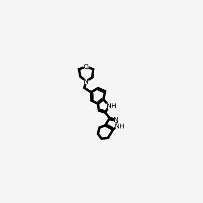 c1cc2[nH]c(-c3n[nH]c4c3CCCC4)cc2cc1CN1CCOCC1